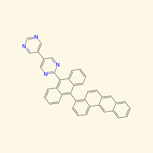 c1ccc2cc3c(ccc4c(-c5c6ccccc6c(-c6ncc(-c7cncnc7)cn6)c6ccccc56)cccc43)cc2c1